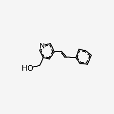 OCc1cncc(/C=C/c2ccccc2)c1